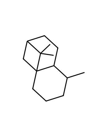 CC1CCCC23CC(CCC12)C3(C)C